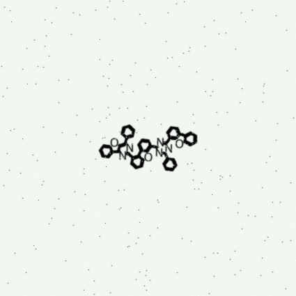 c1ccc(-c2nc(-c3cccc4c3oc3ccccc34)nc(-c3cccc4c3oc3cccc(-c5nc(-c6ccccc6)c6oc7ccccc7c6n5)c34)n2)cc1